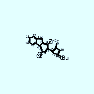 CC1=C(c2ccc3c([c]2[Zr+2])Cc2ccccc2-3)CC(C(C)(C)C)=C1.[Cl-].[Cl-]